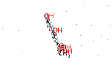 CC(OC(=O)CCCCCCCC(O)CCCCCCCO)C(O)O